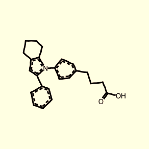 O=C(O)CCCc1ccc(-n2c(-c3ccccc3)cc3c2CCCC3)cc1